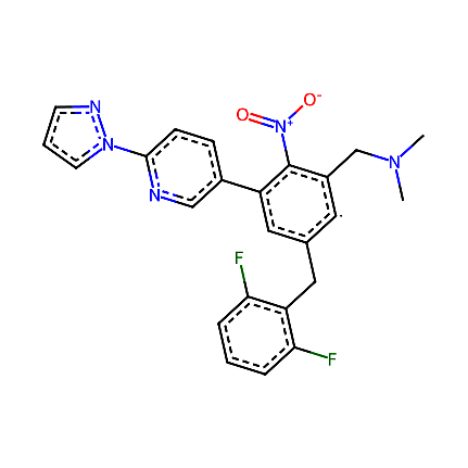 CN(C)Cc1[c]c(Cc2c(F)cccc2F)cc(-c2ccc(-n3cccn3)nc2)c1[N+](=O)[O-]